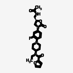 CCN(C(=O)c1ccco1)C1CCN(c2ccc(N3C[C@H](CNC(C)=O)OC3=O)cc2F)CC1